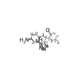 CC(=O)[C@@H](CC(C)C)[C@H](Cc1ccc(N)cn1)c1nnn[nH]1